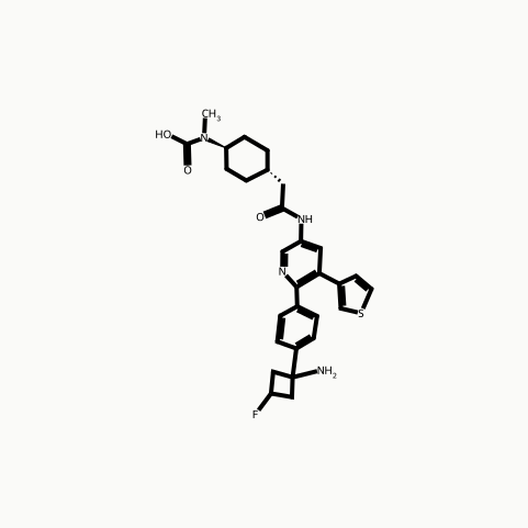 CN(C(=O)O)[C@H]1CC[C@H](CC(=O)Nc2cnc(-c3ccc(C4(N)CC(F)C4)cc3)c(-c3ccsc3)c2)CC1